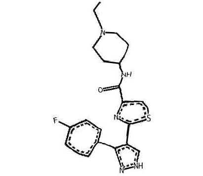 CCN1CCC(NC(=O)c2csc(-c3c[nH]nc3-c3ccc(F)cc3)n2)CC1